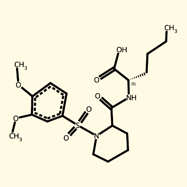 CCCC[C@H](NC(=O)C1CCCCN1S(=O)(=O)c1ccc(OC)c(OC)c1)C(=O)O